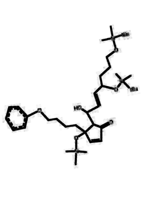 CC(C)(C)[Si](C)(C)OCCCC(C=CC(O)C1C(=O)C=CC1(CCCCOc1ccccc1)O[Si](C)(C)C)O[Si](C)(C)C(C)(C)C